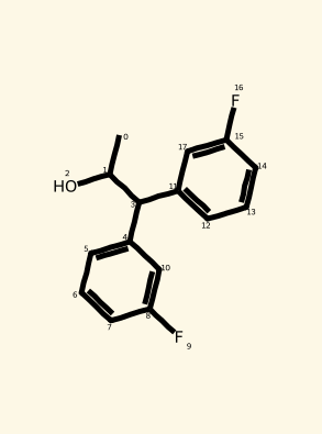 CC(O)C(c1cccc(F)c1)c1cccc(F)c1